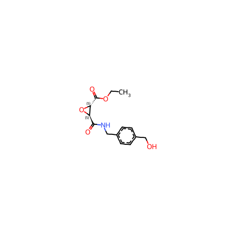 CCOC(=O)[C@H]1O[C@@H]1C(=O)NCc1ccc(CO)cc1